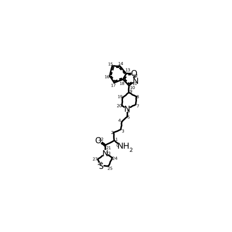 NC(CCCCN1CCC(c2noc3ccccc23)CC1)C(=O)N1CCSC1